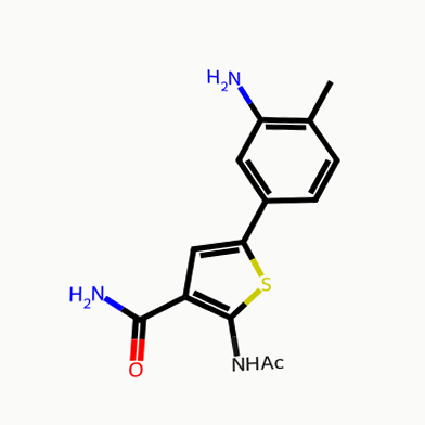 CC(=O)Nc1sc(-c2ccc(C)c(N)c2)cc1C(N)=O